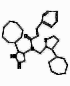 O=C(/C=C/c1ccccc1)N(CC1SCCC1C1CCCCCC1)C1CNNC1C1CCCCCCC1